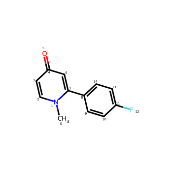 Cn1ccc(=O)cc1-c1ccc(F)cc1